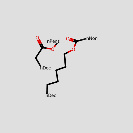 CCCCCCCCCCCC(=O)OCCCCC.CCCCCCCCCCCCCCCOC(=O)CCCCCCCCC